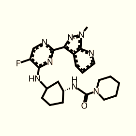 Cn1nc(-c2ncc(F)c(NC3CCC[C@@H](NC(=O)N4CCCCC4)C3)n2)c2cccnc21